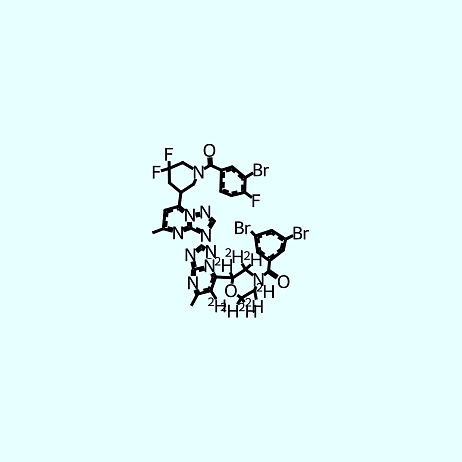 Cc1cc(C2CN(C(=O)c3ccc(F)c(Br)c3)CC(F)(F)C2)n2ncnc2n1.[2H]c1c(C)nc2ncnn2c1C1([2H])OC([2H])([2H])C([2H])([2H])N(C(=O)c2cc(Br)cc(Br)c2)C1([2H])[2H]